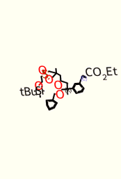 CCOC(=O)/C=C/c1cccc([C@@](C)(CCCC(C)(C)CS(=O)(=O)CCO[Si](C)(C)C(C)(C)C)C(=O)OCc2ccccc2)c1